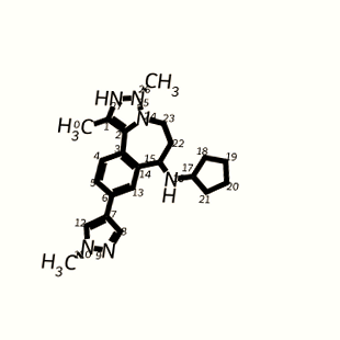 CC1=C2c3ccc(-c4cnn(C)c4)cc3C(NC3CCCC3)CCN2N(C)N1